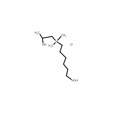 CCCCCCCCCCCCCC[N+](C)(C)CC(C)O.[Cl-]